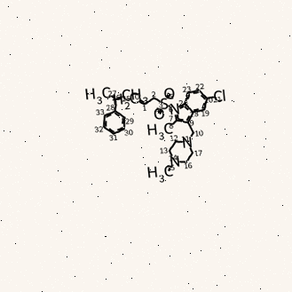 C=CCS(=O)(=O)n1c(C)c(CN2CCN(C)CC2)c2cc(Cl)ccc21.CC(C)c1ccccc1